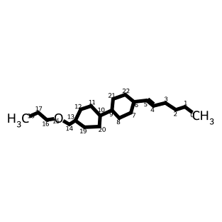 CCCC/C=C/C1CCC(C2CCC(COCCC)CC2)CC1